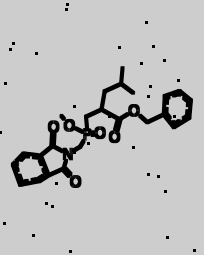 COP(=O)(CC(CC(C)C)C(=O)OCc1ccccc1)CN1C(=O)c2ccccc2C1=O